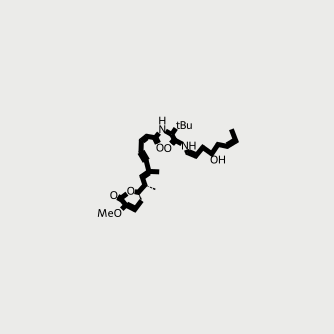 C/C=C\C[C@H](O)C/C=C\NC(=O)C(NC(=O)/C=C\C#C/C(C)=C/[C@H](C)[C@@H]1CC=C(OC)C(=O)O1)C(C)(C)C